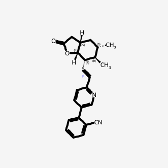 C[C@H]1[C@H](/C=C/c2ccc(-c3ccccc3C#N)cn2)[C@@H]2OC(=O)C[C@@H]2C[C@@H]1C